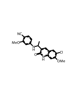 COc1cc2[nH]c(=O)c(C(C)Nc3ccc(C#N)c(OC)c3)cc2cc1Cl